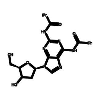 CC(C)C(=O)Nc1nc(NC(=O)C(C)C)c2ncn([C@H]3CC(O)[C@@H](CO)O3)c2n1